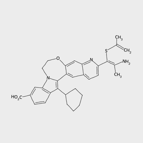 C=C(C)S/C(=C(/C)N)c1ccc2cc3c(cc2n1)OCCn1c-3c(C2CCCCC2)c2ccc(C(=O)O)cc21